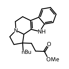 CCCCC1(CCC(=O)OC)CCN2CCc3c([nH]c4ccccc34)C21